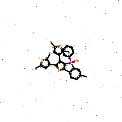 Cc1ccc2c(c1)P(=O)(c1ccccc1)c1c-2sc(-c2cc(C)sc2C)c1-c1cc(C)sc1C